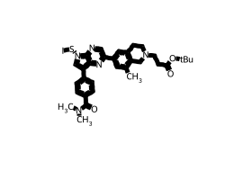 Cc1cc(-c2cnc3c(n2)c(-c2ccc(C(=O)N(C)C)cc2)cn3SI)cc2c1CN(CCC(=O)OC(C)(C)C)CC2